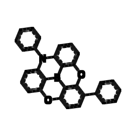 c1ccc(-c2ccc3c4c2Oc2cccc5c2B4c2c(cccc2N5c2ccccc2)O3)cc1